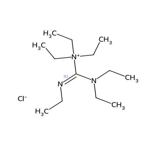 CC/N=C(\N(CC)CC)[N+](CC)(CC)CC.[Cl-]